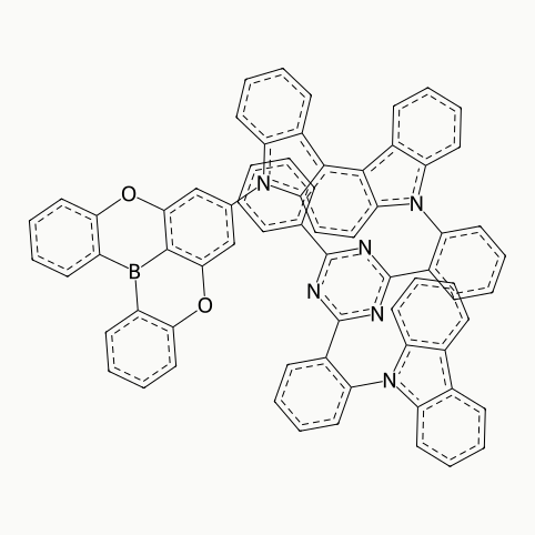 c1ccc(-c2nc(-c3ccccc3-n3c4ccccc4c4ccccc43)nc(-c3ccccc3-n3c4ccccc4c4c5c6ccccc6n(-c6cc7c8c(c6)Oc6ccccc6B8c6ccccc6O7)c5ccc43)n2)cc1